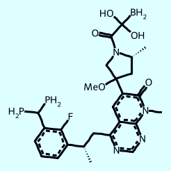 BC(O)(O)C(=O)N1CC(OC)(c2cc3c(C[C@H](C)c4cccc(C(P)P)c4F)ncnc3n(C)c2=O)C[C@H]1C